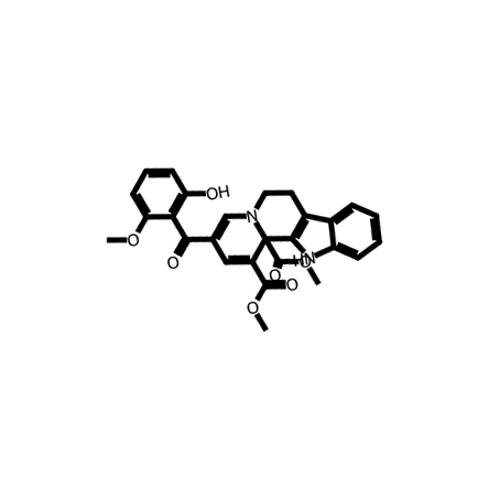 COC(=O)C1=CC(C(=O)c2c(O)cccc2OC)=CN2CCc3c([nH]c4ccccc34)C12C(=O)OC